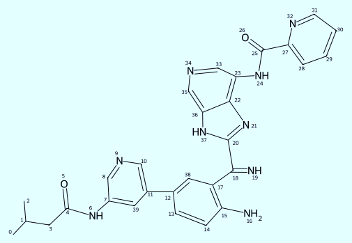 CC(C)CC(=O)Nc1cncc(-c2ccc(N)c(C(=N)c3nc4c(NC(=O)c5ccccn5)cncc4[nH]3)c2)c1